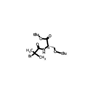 CC(C)(C)OC[C@H](NC(=O)C(C)(C)Br)C(=O)OC(C)(C)C